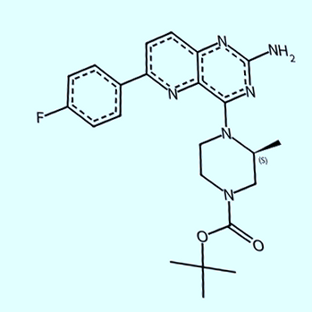 C[C@H]1CN(C(=O)OC(C)(C)C)CCN1c1nc(N)nc2ccc(-c3ccc(F)cc3)nc12